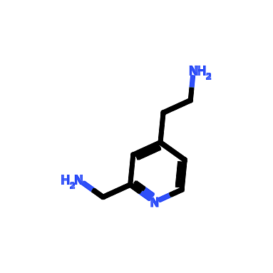 NCCc1ccnc(CN)c1